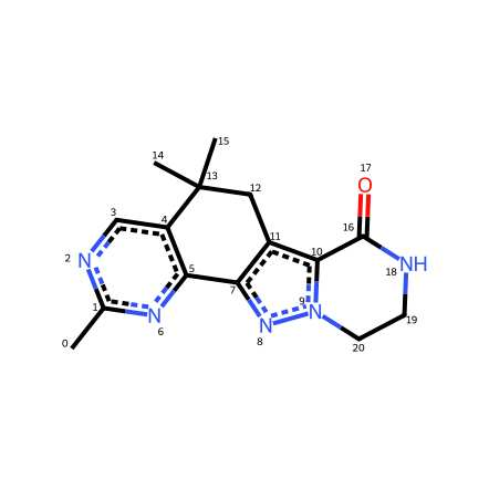 Cc1ncc2c(n1)-c1nn3c(c1CC2(C)C)C(=O)NCC3